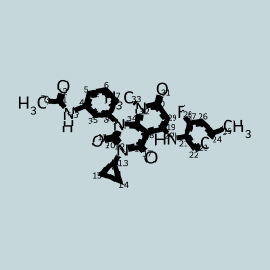 CC(=O)Nc1cccc(-n2c(=O)n(C3CC3)c(=O)c3c(Nc4ccc(C)cc4F)cc(=O)n(C)c32)c1